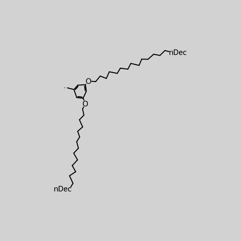 [CH2]c1cc(OCCCCCCCCCCCCCCCCCCCCCCCC)cc(OCCCCCCCCCCCCCCCCCCCCCCCC)c1